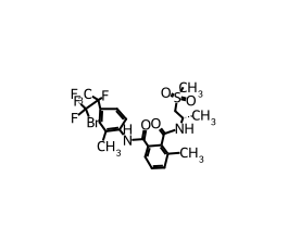 Cc1cc(C(F)(C(F)(F)F)C(F)(F)Br)ccc1NC(=O)c1cccc(C)c1C(=O)N[C@@H](C)CS(C)(=O)=O